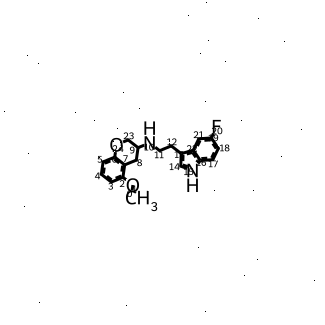 COc1cccc2c1CC(NCCc1c[nH]c3ccc(F)cc13)CO2